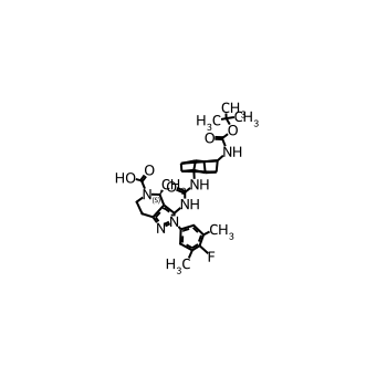 Cc1cc(-n2nc3c(c2NC(=O)NC24C5C6C2C2C4C5C62NC(=O)OC(C)(C)C)[C@H](C)N(C(=O)O)CC3)cc(C)c1F